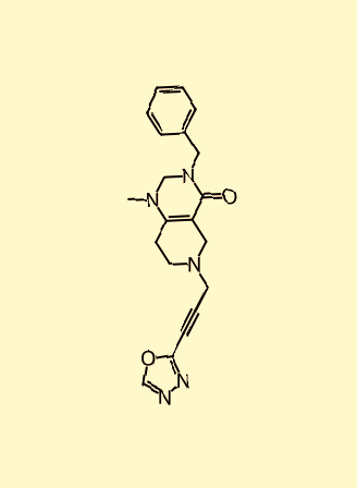 CN1CN(Cc2ccccc2)C(=O)C2=C1CCN(CC#Cc1nnco1)C2